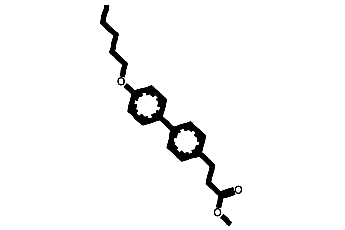 CCCCCOc1ccc(-c2ccc(CCC(=O)OC)cc2)cc1